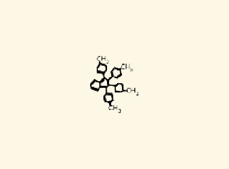 Cc1ccc(-c2c(-c3ccc(C)cc3)c(-c3ccc(C)cc3)c3ccc[c]c3c2-c2ccc(C)cc2)cc1